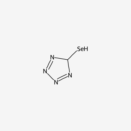 [SeH]C1N=NN=N1